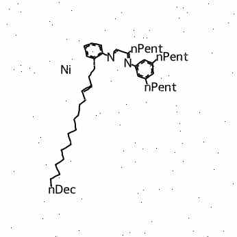 CCCCCCCCCCCCCCCCCCCCCCC=CCCc1ccccc1N=CC(CCCCC)=Nc1cc(CCCCC)cc(CCCCC)c1.[Ni]